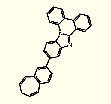 C1=Cc2ccc(-c3ccc4c(c3)nc3c5ccccc5c5ccccc5n43)cc2C=CC1